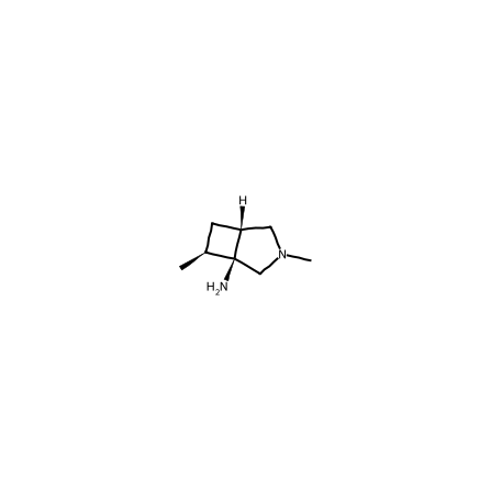 C[C@H]1C[C@@H]2CN(C)C[C@@]21N